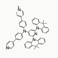 C=N/C=C\C(=C/C)c1ccc(N(c2ccc(-c3ccncc3)cc2)c2cc(N3c4ccccc4C(C)(C)c4ccccc43)nc(N3c4ccccc4C(C)(C)c4ccccc43)c2)cc1